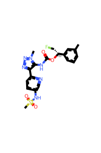 Cc1cccc([C@@H](CF)OC(=O)Nc2c(-c3ccc(NS(C)(=O)=O)cn3)nnn2C)c1